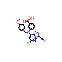 COc1ccc(CN(C2=CC(Cl)=NN3C2=NCC3C#N)c2cccc(C(=O)O)c2)cc1